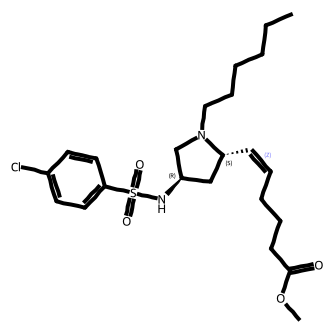 CCCCCCN1C[C@H](NS(=O)(=O)c2ccc(Cl)cc2)C[C@H]1/C=C\CCCC(=O)OC